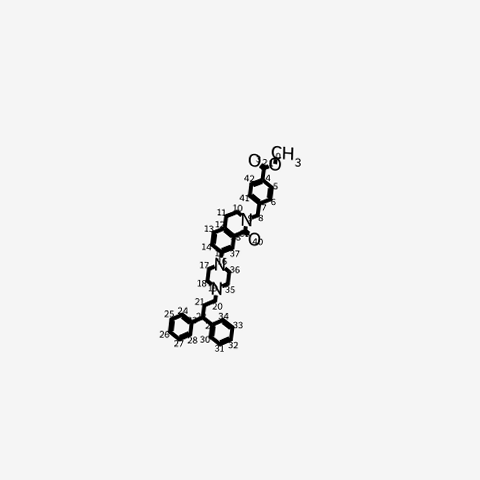 COC(=O)c1ccc(CN2CCc3ccc(N4CCN(CCC(c5ccccc5)c5ccccc5)CC4)cc3C2=O)cc1